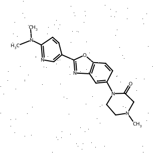 CN1CCN(c2ccc3oc(-c4ccc(N(C)C)nc4)nc3c2)C(=O)C1